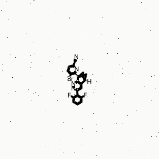 CC1(C)[C@H]2CC[C@@]1(c1nc(C#N)ccc1Br)c1nnc(-c3c(F)cccc3F)cc12